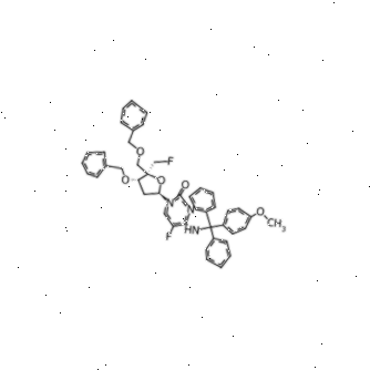 COc1ccc(C(Nc2nc(=O)n([C@H]3C[C@H](OCc4ccccc4)[C@@](CF)(COCc4ccccc4)O3)cc2F)(c2ccccc2)c2ccccc2)cc1